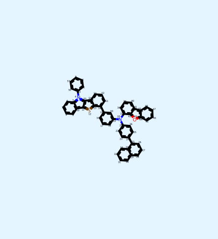 c1ccc(-n2c3ccccc3c3sc4c(-c5cccc(N(c6ccc(-c7cccc8ccccc78)cc6)c6cccc7c6oc6ccccc67)c5)cccc4c32)cc1